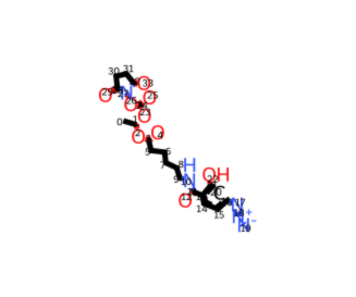 CC(OC(=O)CCCCCNC(=O)c1ccc(N=[N+]=[N-])cc1O)OC(=O)ON1C(=O)CCC1=O